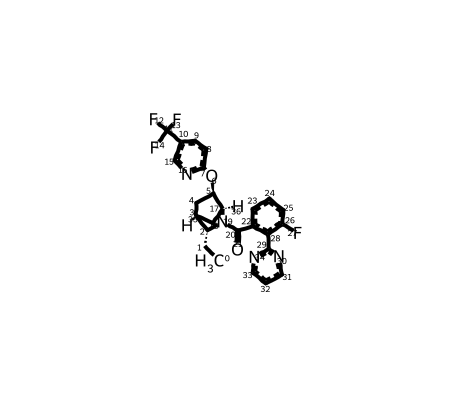 CC[C@@H]1[C@H]2C[C@@H](Oc3ccc(C(F)(F)F)cn3)[C@H](C2)N1C(=O)c1cccc(F)c1-c1ncccn1